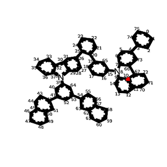 c1ccc(-c2ccc(N(c3ccccc3)c3cccc(-c4ccccc4-c4ccc5c(c4)c4ccccc4n5-c4cc(-c5ccc6ccccc6c5)cc(-c5ccc6ccccc6c5)c4)c3)c(-c3ccccc3)c2)cc1